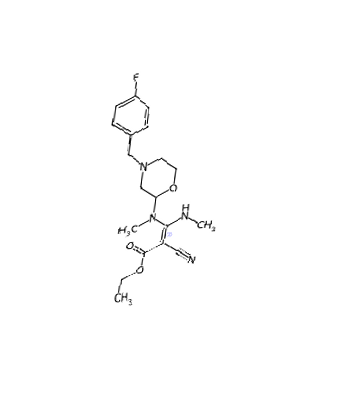 CCOC(=O)/C(C#N)=C(/NC)N(C)C1CN(Cc2ccc(F)cc2)CCO1